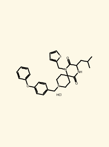 CC(C)CC1NC(=O)C2(CCN(Cc3ccc(Oc4ccccc4)cc3)CC2)N(Cc2cccs2)C1=O.Cl